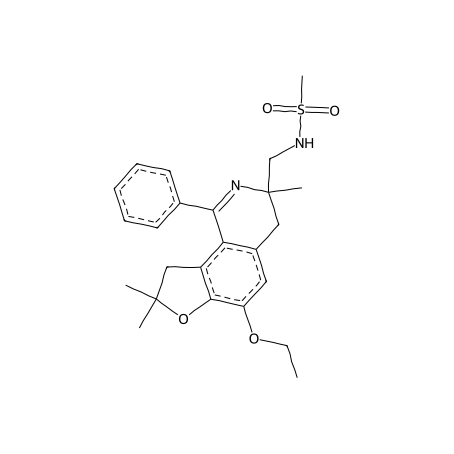 CCOc1cc2c(c3c1OC(C)(C)C3)C(c1ccccc1)=NC(C)(CNS(C)(=O)=O)C2